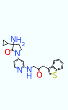 N[C@@]1(C2CC2)CCN(c2ccnc(NCC(=O)Cc3csc4ccccc34)c2)C1=O